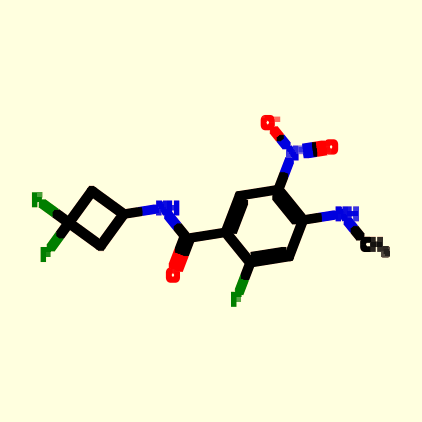 CNc1cc(F)c(C(=O)NC2CC(F)(F)C2)cc1[N+](=O)[O-]